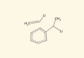 [Li][CH](C)c1ccccc1.[Li][CH]=C